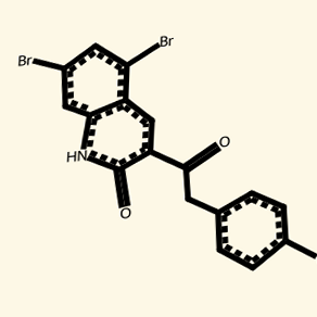 O=C(Cc1ccc(Cl)cc1)c1cc2c(Br)cc(Br)cc2[nH]c1=O